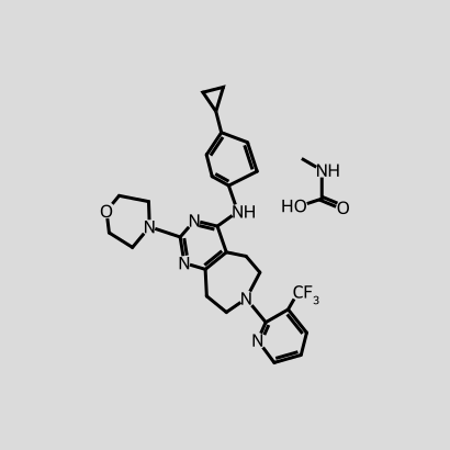 CNC(=O)O.FC(F)(F)c1cccnc1N1CCc2nc(N3CCOCC3)nc(Nc3ccc(C4CC4)cc3)c2CC1